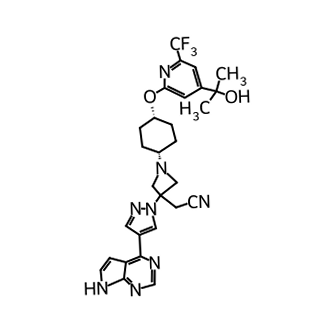 CC(C)(O)c1cc(O[C@H]2CC[C@@H](N3CC(CC#N)(n4cc(-c5ncnc6[nH]ccc56)cn4)C3)CC2)nc(C(F)(F)F)c1